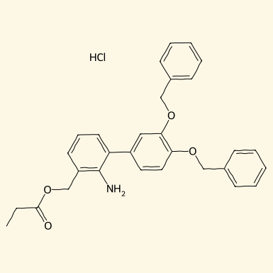 CCC(=O)OCc1cccc(-c2ccc(OCc3ccccc3)c(OCc3ccccc3)c2)c1N.Cl